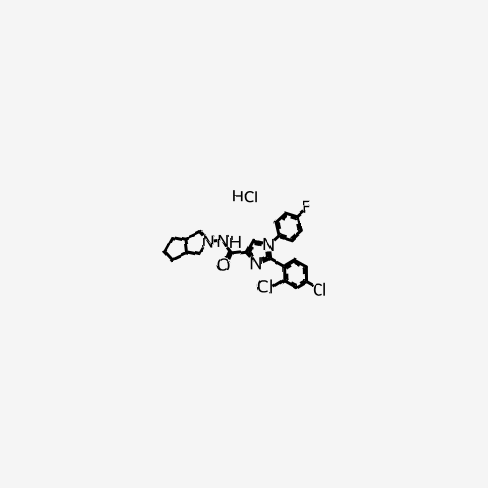 Cl.O=C(NN1CC2CCCC2C1)c1cn(-c2ccc(F)cc2)c(-c2ccc(Cl)cc2Cl)n1